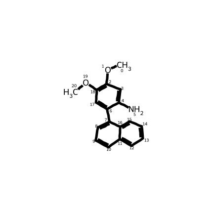 COc1cc(N)c(-c2cccc3ccccc23)cc1OC